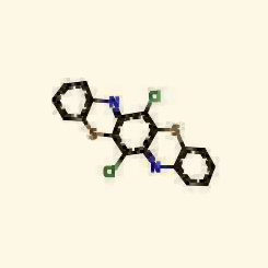 Clc1c2c(c(Cl)c3c1=Nc1ccccc1S3)=Nc1ccccc1S2